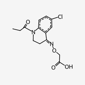 CCC(=O)N1CCC(=NOCC(=O)O)c2cc(Cl)ccc21